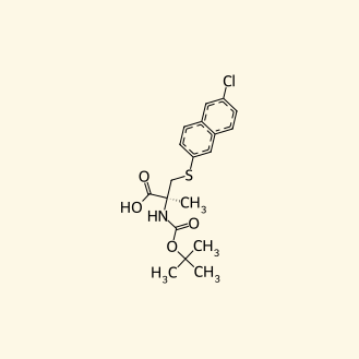 CC(C)(C)OC(=O)N[C@](C)(CSc1ccc2cc(Cl)ccc2c1)C(=O)O